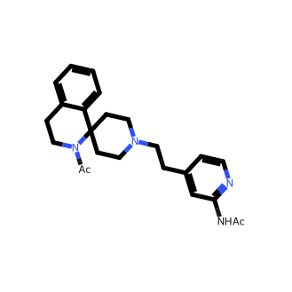 CC(=O)Nc1cc(CCN2CCC3(CC2)c2ccccc2CCN3C(C)=O)ccn1